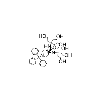 O=P(NC(CCO)(CCO)CCO)(NC(CCO)(CCO)CCO)N1CCN(C(c2ccccc2)(c2ccccc2)c2ccccc2)CC1